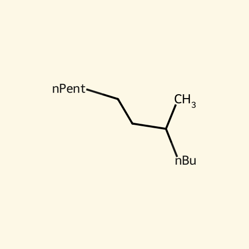 C[CH]CCC(C)CCCCCCC